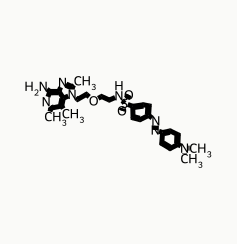 Cc1nc(N)c2nc(C)n(CCOCCNS(=O)(=O)c3ccc(N=Nc4ccc(N(C)C)cc4)cc3)c2c1C